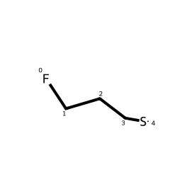 FCCC[S]